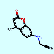 C#CCNc1ccc2c(C)cc(=O)oc2c1